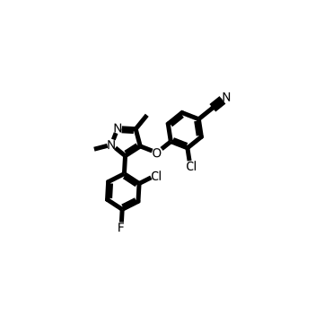 Cc1nn(C)c(-c2ccc(F)cc2Cl)c1Oc1ccc(C#N)cc1Cl